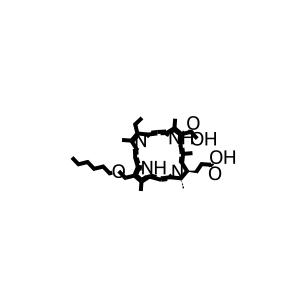 CCCCCCOCc1c(C)c2cc3nc(c(C)c4[nH]c(cc5nc(cc1[nH]2)C(C)=C5CC)c(C)c4C(=O)O)[C@@H](CCC(=O)O)[C@@H]3C